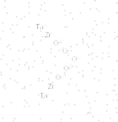 [O-2].[O-2].[O-2].[O-2].[O-2].[Ta+5].[Ta+5].[Zr].[Zr]